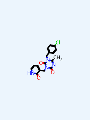 Cc1nc(=O)n(Cc2ccc[nH]c2=O)c(=O)n1Cc1ccc(Cl)cc1